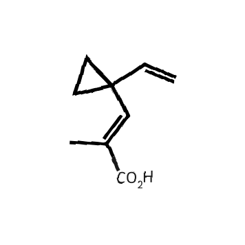 C=CC1(/C=C(\C)C(=O)O)CC1